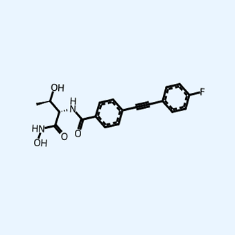 C[C@@H](O)[C@H](NC(=O)c1ccc(C#Cc2ccc(F)cc2)cc1)C(=O)NO